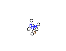 C1=Cc2c(ccc3c4ccccc4n(-c4cc(-c5ccccc5)nc(-c5ccccc5)n4)c23)Sc2ccccc21